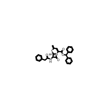 C=C1C=C(C(=O)OC(c2ccccc2)c2ccccc2)N2C(=O)C(NC(=O)Cc3ccccc3)[C@H]2S1